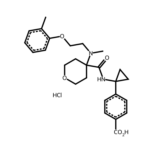 Cc1ccccc1OCCN(C)C1(C(=O)NC2(c3ccc(C(=O)O)cc3)CC2)CCOCC1.Cl